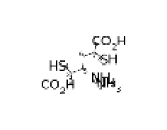 N.N.O=C(O)C(S)CCC(S)C(=O)O